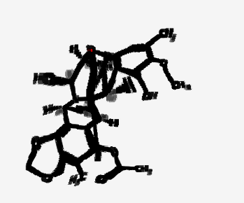 COc1c(C)cc2c(c1O)[C@@H]1N[C@H](C2)[C@H](O)N2C1[C@@H]1SC[C@H](O)C(=O)OC[C@H]2c2c3c(c(C)c(OC(C)=O)c21)OCO3